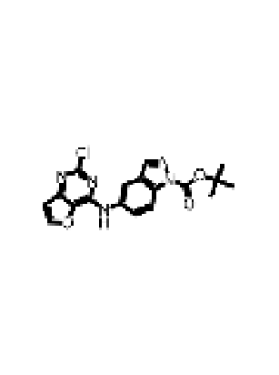 CC(C)(C)OC(=O)n1ncc2cc(Nc3nc(Cl)nc4ccoc34)ccc21